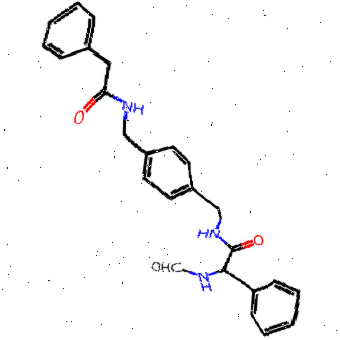 O=CNC(C(=O)NCc1ccc(CNC(=O)Cc2ccccc2)cc1)c1ccccc1